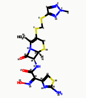 Cn1ncc(SCSC2=C(C(=O)O)N3C(=O)[C@@H](NC(=O)/C(=N\O)c4csc(N)n4)[C@@H]3SC2)n1